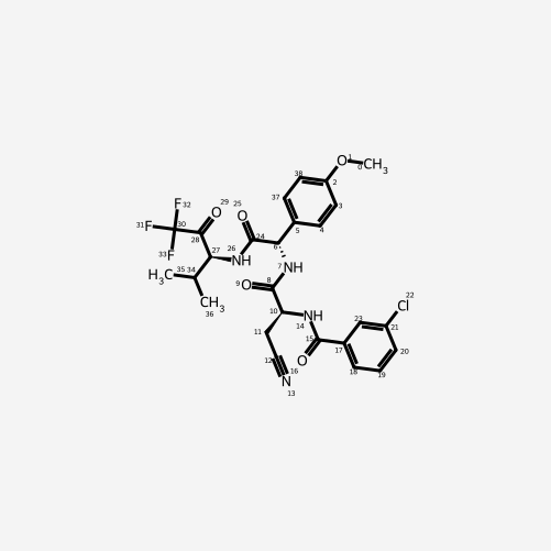 COc1ccc([C@H](NC(=O)[C@H](CC#N)NC(=O)c2cccc(Cl)c2)C(=O)N[C@H](C(=O)C(F)(F)F)C(C)C)cc1